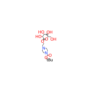 CC(C)(C)OC(=O)N1CCN(CCO[C@@H]2OC(CO)[C@@H](O)C(O)C2O)CC1